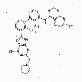 CCc1cnc2c(Nc3cccc(-c4cccc(-c5nc6cc(CN7CCCC7)cc(Cl)c6o5)c4C)c3C)nccc2c1